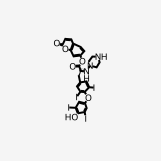 O=C(Oc1ccc2ccc(=O)oc2c1)[C@H](Cc1cc(I)c(Oc2cc(I)c(O)c(I)c2)c(I)c1)NN1CCNCC1